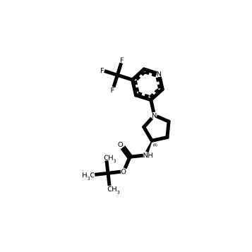 CC(C)(C)OC(=O)N[C@@H]1CCN(c2cncc(C(F)(F)F)c2)C1